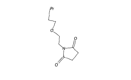 CC(C)CCOCCN1C(=O)CCC1=O